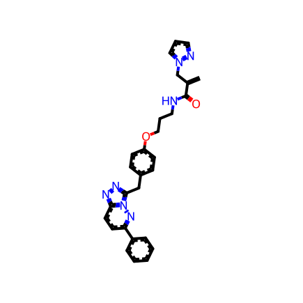 C=C(Cn1cccn1)C(=O)NCCCOc1ccc(Cc2nnc3ccc(-c4ccccc4)nn23)cc1